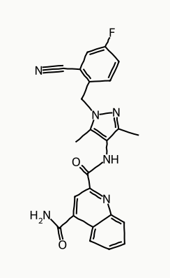 Cc1nn(Cc2ccc(F)cc2C#N)c(C)c1NC(=O)c1cc(C(N)=O)c2ccccc2n1